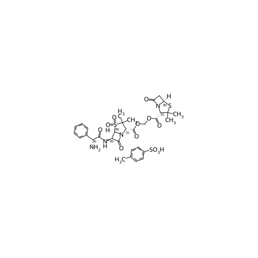 CC1(C)S[C@@H]2CC(=O)N2[C@H]1C(=O)OCOC(=O)[C@@H]1N2C(=O)[C@@H](NC(=O)[C@H](N)c3ccccc3)[C@H]2S(=O)(=O)C1(C)C.Cc1ccc(S(=O)(=O)O)cc1